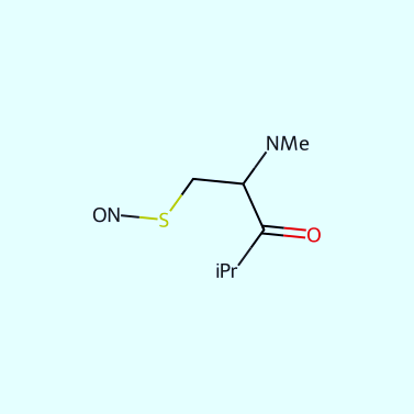 CNC(CSN=O)C(=O)C(C)C